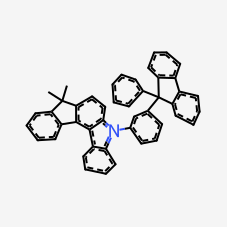 CC1(C)c2ccccc2-c2c1ccc1c2c2ccccc2n1-c1cccc(C2(c3ccccc3)c3ccccc3-c3ccccc32)c1